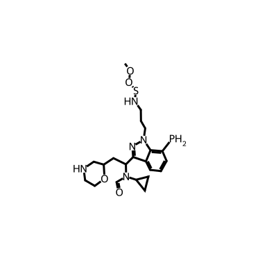 COOSNCCCn1nc(C(CC2CNCCO2)N(C=O)C2CC2)c2cccc(P)c21